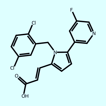 O=C(O)/C=C/c1ccc(-c2cncc(F)c2)n1Cc1cc(Cl)ccc1Cl